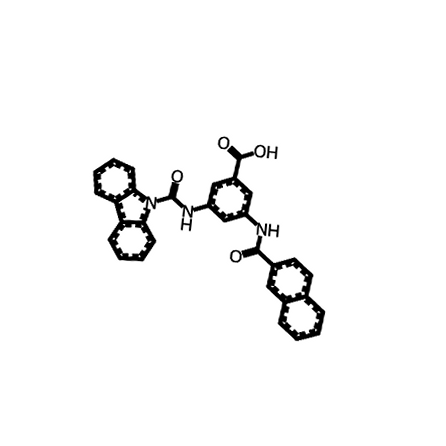 O=C(O)c1cc(NC(=O)c2ccc3ccccc3c2)cc(NC(=O)n2c3ccccc3c3ccccc32)c1